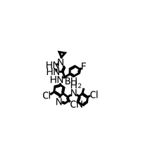 BC(Nc1cc(Cl)c2ncc(C#N)c(Nc3cccc(Cl)c3C)c2c1)(C1=CN(C2CC2)NN1)c1ccc(F)cc1